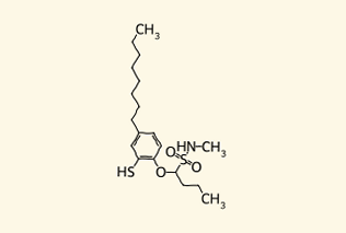 CCCCCCCCc1ccc(OC(CCC)S(=O)(=O)NC)c(S)c1